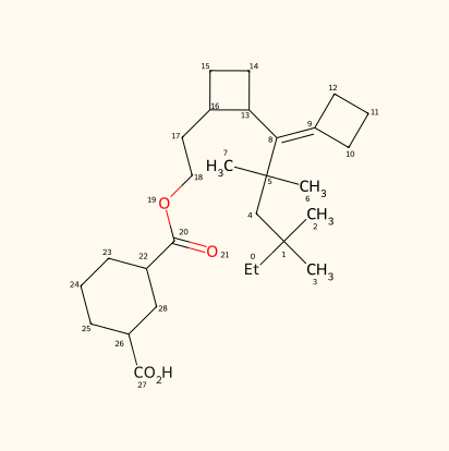 CCC(C)(C)CC(C)(C)C(=C1CCC1)C1CCC1CCOC(=O)C1CCCC(C(=O)O)C1